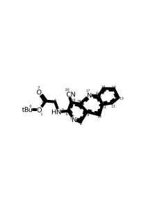 CC(C)(C)OC(=O)CNc1ncc2cc3ccccc3nc2c1C#N